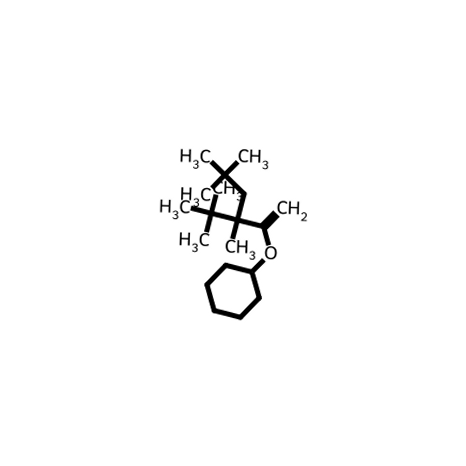 C=C(OC1CCCCC1)C(C)(CC(C)(C)C)C(C)(C)C